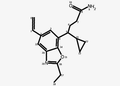 C=Cc1cc(C(CCC(N)=O)C2CC2)c2oc(CC)nc2c1